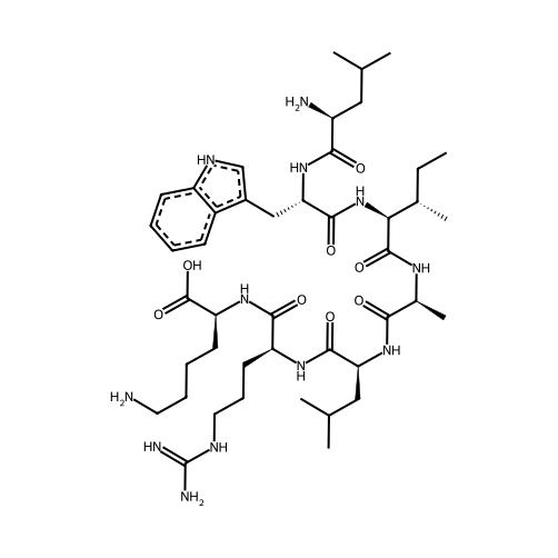 CC[C@H](C)[C@H](NC(=O)[C@H](Cc1c[nH]c2ccccc12)NC(=O)[C@@H](N)CC(C)C)C(=O)N[C@@H](C)C(=O)N[C@@H](CC(C)C)C(=O)N[C@@H](CCCNC(=N)N)C(=O)N[C@@H](CCCCN)C(=O)O